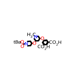 CN1C[C@H](Oc2ccc(C(=O)O)c(C(=O)O)c2)C[C@@H](OC2CCN(C(=O)OC(C)(C)C)CC2)C1